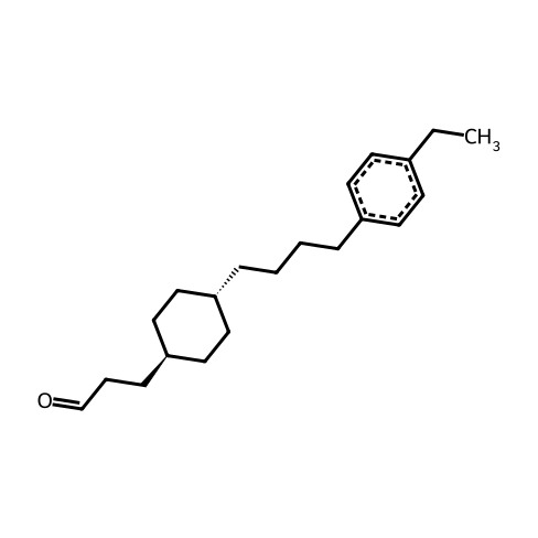 CCc1ccc(CCCC[C@H]2CC[C@H](CCC=O)CC2)cc1